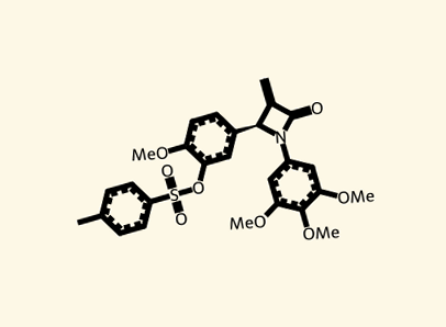 C=C1C(=O)N(c2cc(OC)c(OC)c(OC)c2)[C@H]1c1ccc(OC)c(OS(=O)(=O)c2ccc(C)cc2)c1